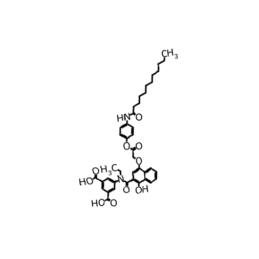 CCCCCCCCCCCC(=O)Nc1ccc(OC(=O)COc2cc(C(=O)N(CC)c3cc(C(=O)O)cc(C(=O)O)c3)c(O)c3ccccc23)cc1